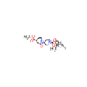 COC(=O)C1CCN(C2CCN(C(=O)OC(C)(C)C)CC2)C(=O)C1